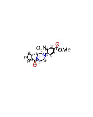 COC(=O)c1ccc(N2CCN(C(=O)C3CCCC3)CC2)c([N+](=O)[O-])c1